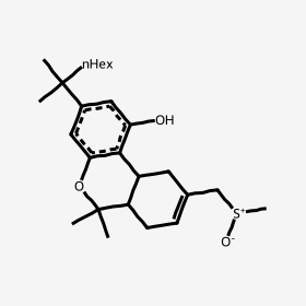 CCCCCCC(C)(C)c1cc(O)c2c(c1)OC(C)(C)C1CC=C(C[S+](C)[O-])CC21